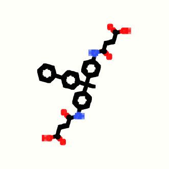 CC(c1ccc(NC(=O)/C=C/C(=O)O)cc1)(c1ccc(NC(=O)/C=C/C(=O)O)cc1)c1ccc(-c2ccccc2)cc1